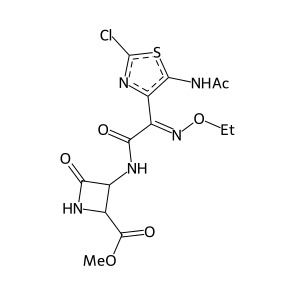 CCO/N=C(/C(=O)NC1C(=O)NC1C(=O)OC)c1nc(Cl)sc1NC(C)=O